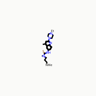 CCN1CCN(c2cc(C)c3cc(NC(=S)N(C)CCCNC)ccc3n2)CC1